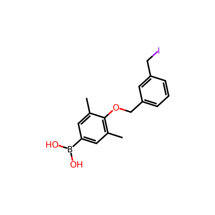 Cc1cc(B(O)O)cc(C)c1OCc1cccc(CI)c1